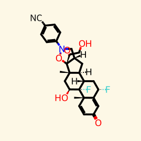 C[C@]12C=CC(=O)C=C1[C@@H](F)C[C@H]1[C@@H]3C[C@H]4CN(c5ccc(C#N)cc5)O[C@@]4(C(=O)CO)[C@@]3(C)C[C@H](O)[C@@]12F